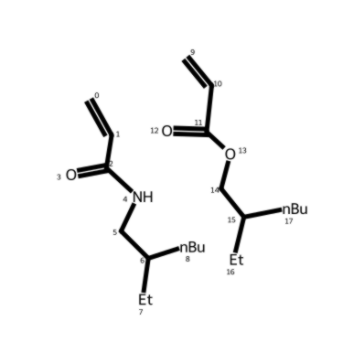 C=CC(=O)NCC(CC)CCCC.C=CC(=O)OCC(CC)CCCC